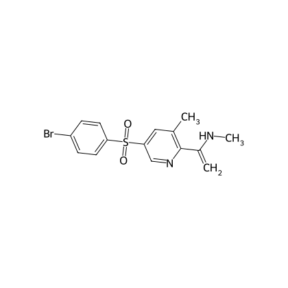 C=C(NC)c1ncc(S(=O)(=O)c2ccc(Br)cc2)cc1C